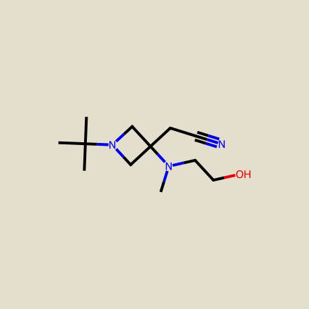 CN(CCO)C1(CC#N)CN(C(C)(C)C)C1